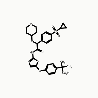 CC(C)(C(=O)O)c1ccc(Oc2cnc(NC(=O)C(OC3CCOCC3)c3ccc(S(=O)(=O)C4CC4)cc3)s2)cc1